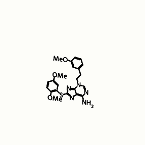 COc1cccc(CCn2cnc(N)c3nc(Sc4cc(OC)ccc4OC)nc2-3)c1